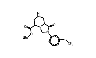 CC(C)(C)OC(=O)C1CNCC2C(=O)N(c3cccc(SC(F)(F)F)c3)CN12